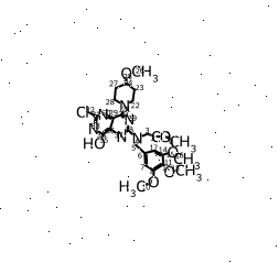 COCCN(Cc1cc(OC)c(OC)c(OC)c1)c1nc(N2CCC(OC)CC2)c2nc(Cl)nc(O)c2n1